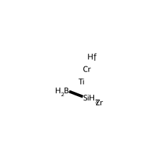 B[SiH3].[Cr].[Hf].[Ti].[Zr]